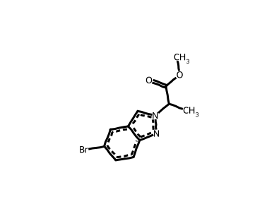 COC(=O)C(C)n1cc2cc(Br)ccc2n1